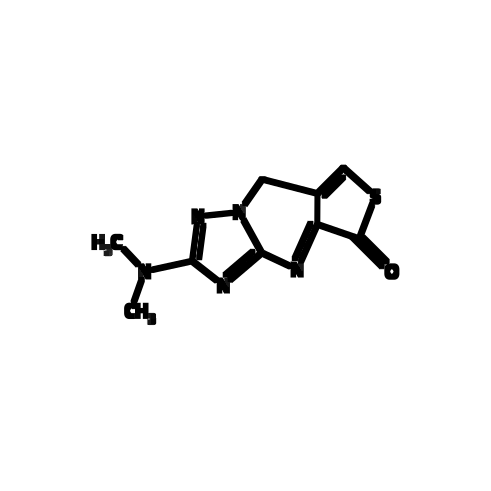 CN(C)c1nc2n(n1)CC1=CSC(=O)C1=N2